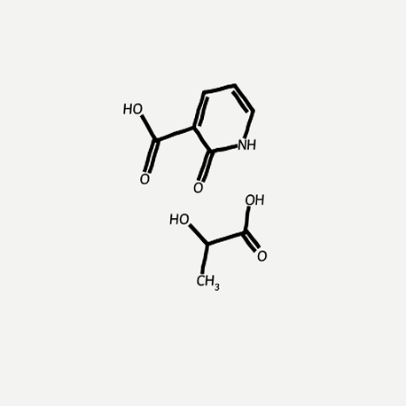 CC(O)C(=O)O.O=C(O)c1ccc[nH]c1=O